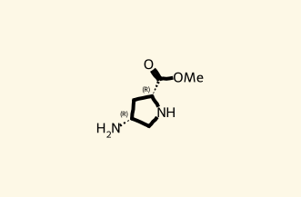 COC(=O)[C@H]1C[C@@H](N)CN1